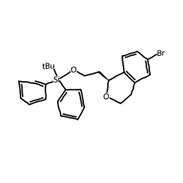 CC(C)(C)[Si](OCC[C@@H]1OCCc2cc(Br)ccc21)(c1ccccc1)c1ccccc1